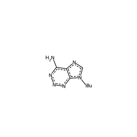 CCC(C)n1cnc2c(N)nnnc21